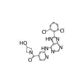 O=C(c1ccnc(Nc2ncnc3nc(-c4c(Cl)cccc4Cl)[nH]c23)c1)N1CC(O)C1